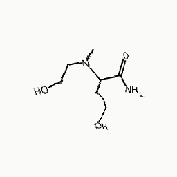 CN(CCO)C(CCO)C(N)=O